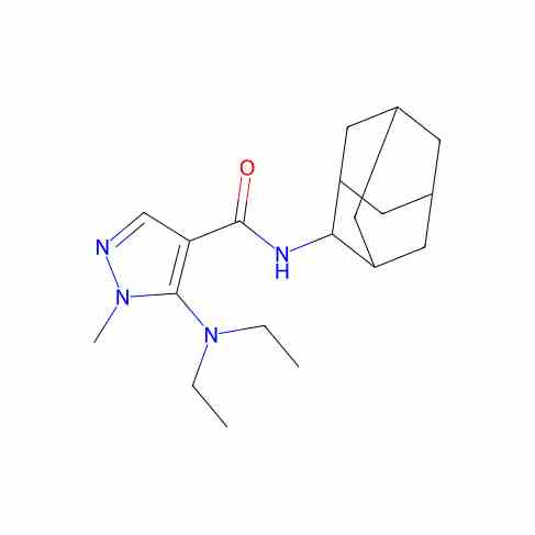 CCN(CC)c1c(C(=O)NC2C3CC4CC(C3)CC2C4)cnn1C